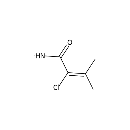 CC(C)=C(Cl)C([NH])=O